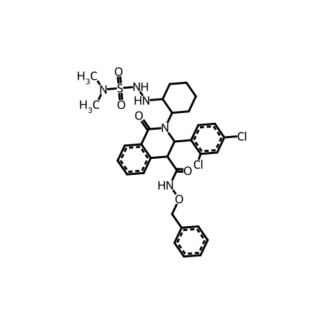 CN(C)S(=O)(=O)NNC1CCCCC1N1C(=O)c2ccccc2C(C(=O)NOCc2ccccc2)C1c1ccc(Cl)cc1Cl